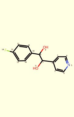 OC(c1ccncc1)C(O)c1ccc(F)cc1